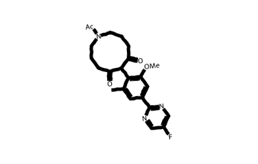 COc1cc(-c2ncc(F)cn2)cc(C)c1C1C(=O)CCCN(C(C)=O)CCCC1=O